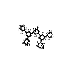 Cc1cc(-c2cc(-c3cccnc3)cc(-c3cccnc3)c2)cc(-c2cc(-c3cccnc3)cc(-c3cccnc3)c2)n1